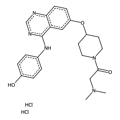 CN(C)CC(=O)N1CCC(Oc2ccc3ncnc(Nc4ccc(O)cc4)c3c2)CC1.Cl.Cl